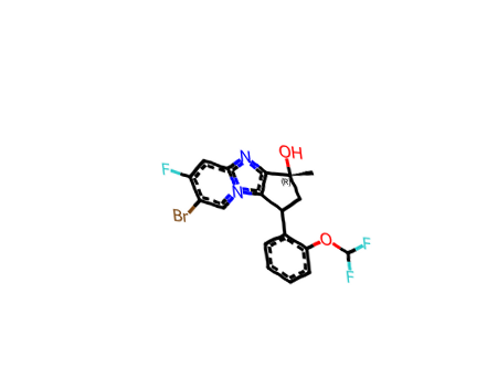 C[C@@]1(O)CC(c2ccccc2OC(F)F)c2c1nc1cc(F)c(Br)cn21